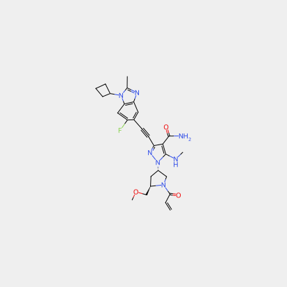 C=CC(=O)N1C[C@@H](n2nc(C#Cc3cc4nc(C)n(C5CCC5)c4cc3F)c(C(N)=O)c2NC)C[C@@H]1COC